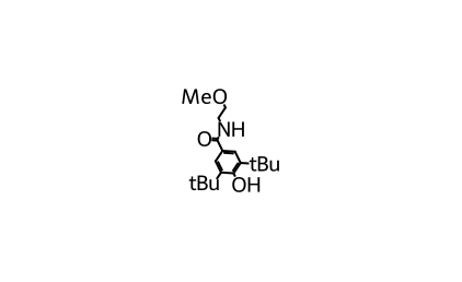 COCCNC(=O)c1cc(C(C)(C)C)c(O)c(C(C)(C)C)c1